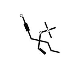 C=CC(CC#CCl)(CCC)O[Si](C)(C)C